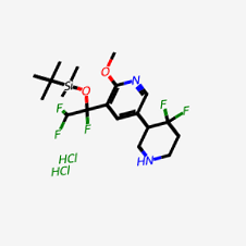 COc1ncc(C2CNCCC2(F)F)cc1C(F)(O[Si](C)(C)C(C)(C)C)C(F)F.Cl.Cl